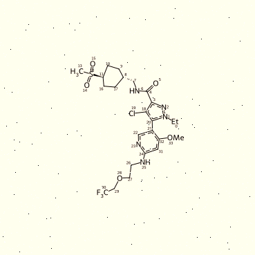 CCn1nc(C(=O)NC[C@H]2CC[C@H](S(C)(=O)=O)CC2)c(Cl)c1-c1cnc(NCCOCC(F)(F)F)cc1OC